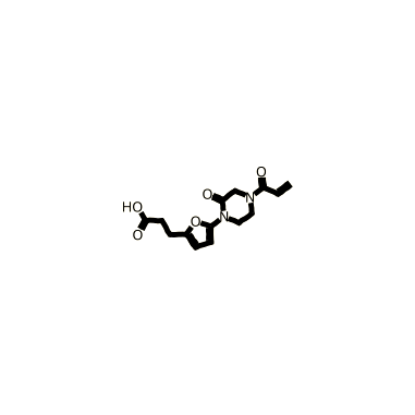 C=CC(=O)N1CCN(c2ccc(CCC(=O)O)o2)C(=O)C1